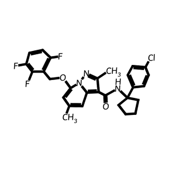 Cc1cc(OCc2c(F)ccc(F)c2F)n2nc(C)c(C(=O)NC3(c4ccc(Cl)cc4)CCCC3)c2c1